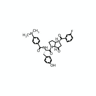 CN(C)c1ccc(C(=O)N[C@@H](Cc2ccc(O)cc2)C(=O)N2CC[C@@H]3[C@H]2C(=O)CN3C(=O)c2cccc(F)c2)cc1